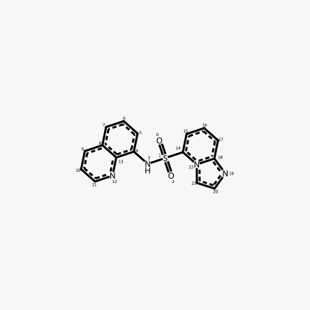 O=S(=O)(Nc1cccc2cccnc12)c1cccc2nccn12